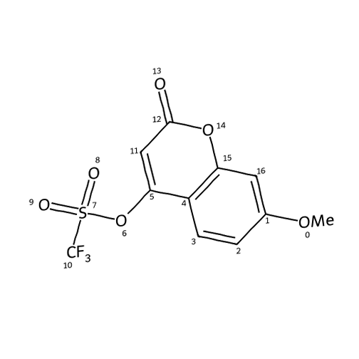 COc1ccc2c(OS(=O)(=O)C(F)(F)F)cc(=O)oc2c1